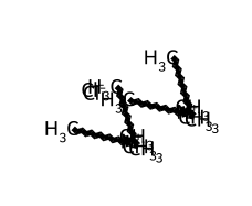 CCCCCCCCCCCCC(CC)[N+](C)(C)CCCCCCCCCCCC.CCCCCCCCCCCCC(CC)[N+](C)(C)CCCCCCCCCCCC.[Cl-].[Cl-]